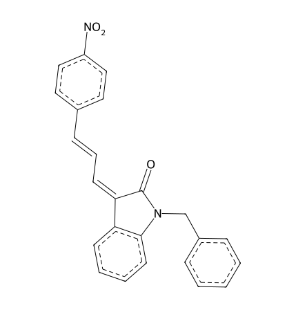 O=C1C(=CC=Cc2ccc([N+](=O)[O-])cc2)c2ccccc2N1Cc1ccccc1